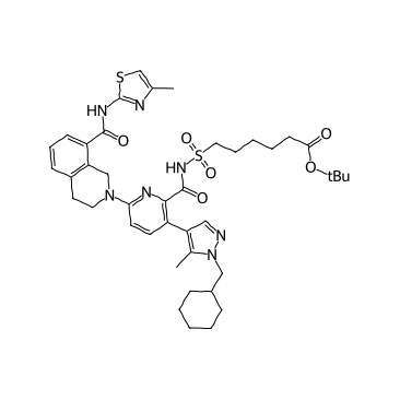 Cc1csc(NC(=O)c2cccc3c2CN(c2ccc(-c4cnn(CC5CCCCC5)c4C)c(C(=O)NS(=O)(=O)CCCCCC(=O)OC(C)(C)C)n2)CC3)n1